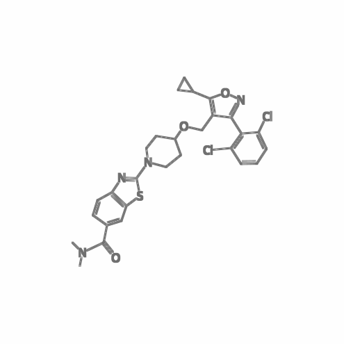 CN(C)C(=O)c1ccc2nc(N3CCC(OCc4c(-c5c(Cl)cccc5Cl)noc4C4CC4)CC3)sc2c1